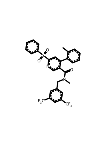 Cc1ccccc1-c1cc(S(=O)(=O)c2ccccc2)ncc1C(=O)N(C)Cc1cc(C(F)(F)F)cc(C(F)(F)F)c1